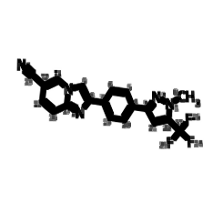 Cn1nc(-c2ccc(-c3cn4cc(C#N)ccc4n3)cc2)cc1C(F)(F)F